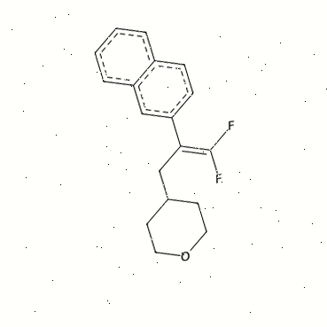 FC(F)=C(CC1CCOCC1)c1ccc2ccccc2c1